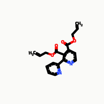 C=CCOC(=O)c1ccnc(-c2ccccn2)c1C(=O)OCC=C